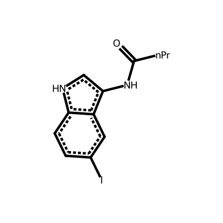 CCCC(=O)Nc1c[nH]c2ccc(I)cc12